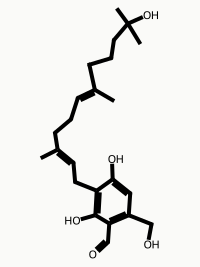 C/C(=C\Cc1c(O)cc(CO)c(C=O)c1O)CC/C=C(\C)CCCC(C)(C)O